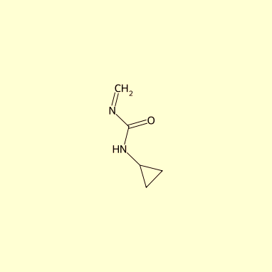 C=NC(=O)NC1CC1